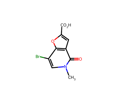 Cn1cc(Br)c2oc(C(=O)O)cc2c1=O